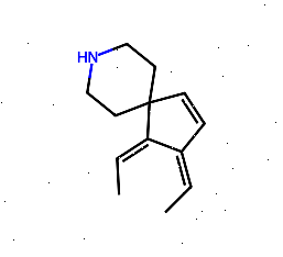 C/C=C1/C=CC2(CCNCC2)/C1=C/C